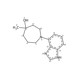 CC1(O)CCCN(c2cccc3[nH]cnc23)CC1